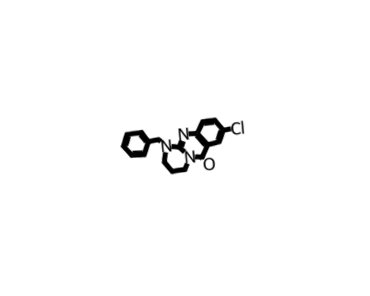 O=c1c2cc(Cl)ccc2nc2n1CCCN2Cc1ccccc1